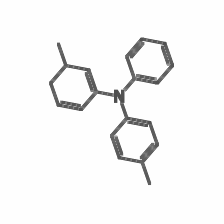 Cc1ccc(N(C2=CC(C)CC=C2)c2ccccc2)cc1